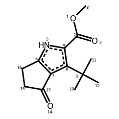 COC(=O)c1[nH]c2c(c1C(C)(C)C)C(=O)CC2